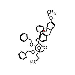 CCOc1ccc(Cc2cc([C@]34OC[C@@](CCO)(O3)[C@H](OCc3ccccc3)[C@H](OCc3ccccc3)[C@H]4OCc3ccccc3)ccc2Cl)cc1